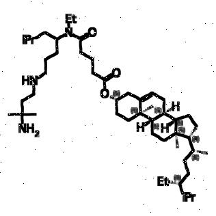 CC[C@H](CC[C@@H](C)[C@H]1CC[C@H]2[C@@H]3CC=C4C[C@@H](OC(=O)CCCC(=O)N(CC)C(CCCNCCC(C)(C)N)CC(C)C)CC[C@]4(C)[C@H]3CC[C@]12C)C(C)C